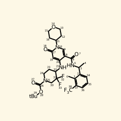 Cc1c(C(C)NC(=O)c2cn(C3CCOCC3)c(=O)cc2NC2CCN(C(=O)OC(C)(C)C)CC2(F)F)cccc1C(F)(F)F